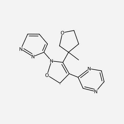 CC1(C2=C(c3cnccn3)[CH]ON2c2cccnn2)CCOC1